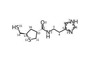 O=C(NCCc1c[nH]cn1)[C@@H]1CS[C@@H](CS)C1